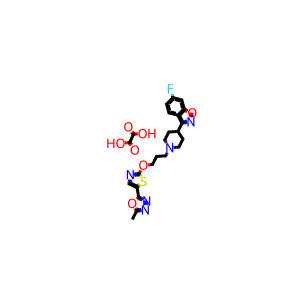 Cc1nnc(-c2cnc(OCCCN3CCC(c4noc5cc(F)ccc45)CC3)s2)o1.O=C(O)C(=O)O